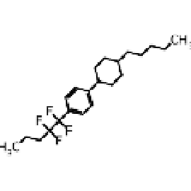 CCCCCC1CCC(c2ccc(C(F)(F)C(F)(F)CCC)cc2)CC1